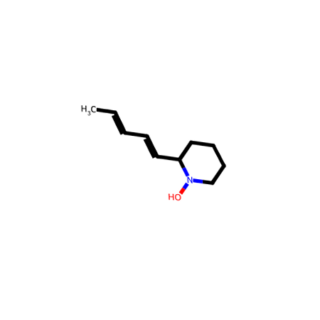 CC=CC=CC1CCCCN1O